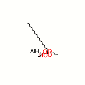 CCCCCCCCCCCCCCCCC(OCCCC)(OCCCC)C(=O)O.[AlH3]